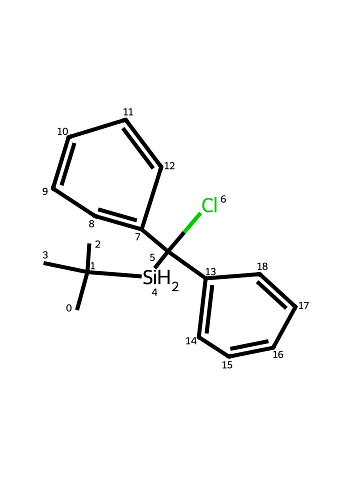 CC(C)(C)[SiH2]C(Cl)(c1ccccc1)c1ccccc1